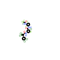 O=C(Nc1ccc(F)c(NC(=O)C(F)(F)F)c1F)c1cc(NC(=O)[C@H]2[C@H](c3ccc(Cl)c(Cl)c3)C2(Cl)Cl)cc(F)c1Cl